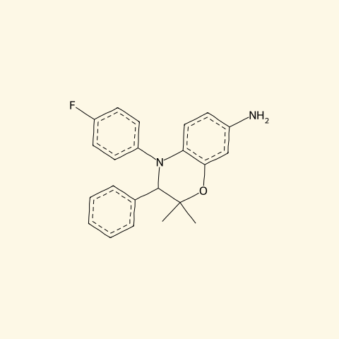 CC1(C)Oc2cc(N)ccc2N(c2ccc(F)cc2)C1c1ccccc1